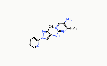 CNc1nc(Nc2cn(-c3ccccn3)nc2C)ncc1N